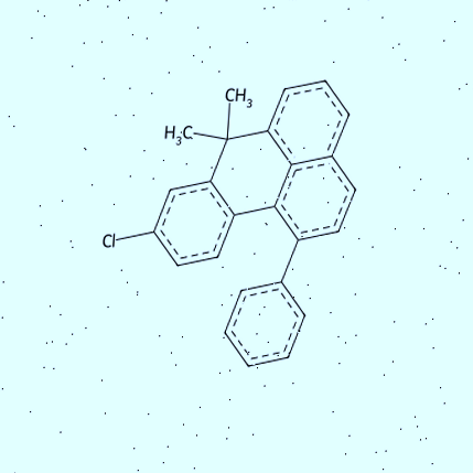 CC1(C)c2cc(Cl)ccc2-c2c(-c3ccccc3)ccc3cccc1c23